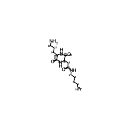 CC(C)CCCCNC(=O)C[C@H]1NC(=O)[C@@H](CCCN)NC1=O